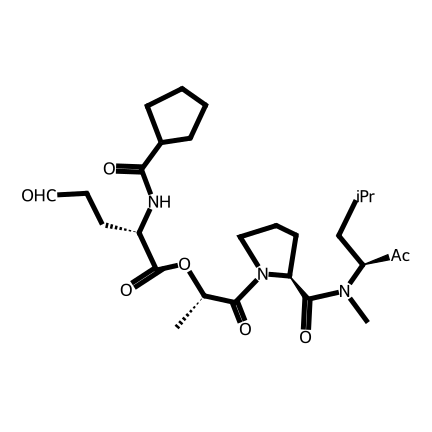 CC(=O)[C@H](CC(C)C)N(C)C(=O)[C@@H]1CCCN1C(=O)[C@H](C)OC(=O)[C@H](CCC=O)NC(=O)C1CCCC1